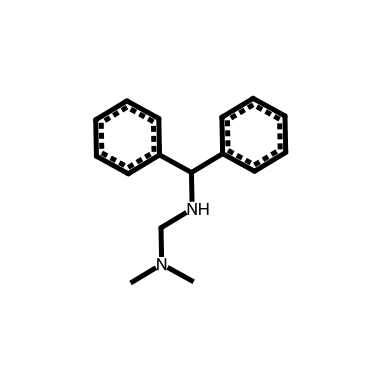 CN(C)CNC(c1ccccc1)c1ccccc1